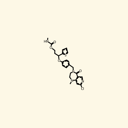 CNC(=O)OCCC(Oc1ccc(CN2CCN(C)c3cc(Cl)ncc3C2=O)cc1)c1cccs1